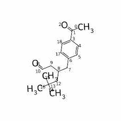 CC(=O)c1ccc(CC(CC=O)CC(C)(C)C)cc1